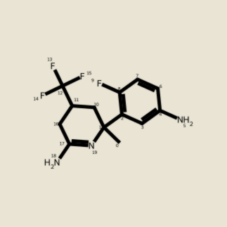 CC1(c2cc(N)ccc2F)CC(C(F)(F)F)CC(N)=N1